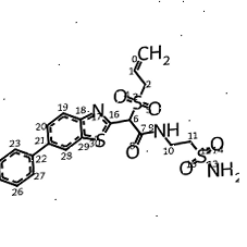 C=CCS(=O)(=O)C(C(=O)NCCS(N)(=O)=O)c1nc2ccc(-c3ccccc3)cc2s1